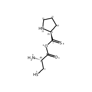 N[C@@H](CS)C(=O)OC(=S)[C@@H]1CCCN1